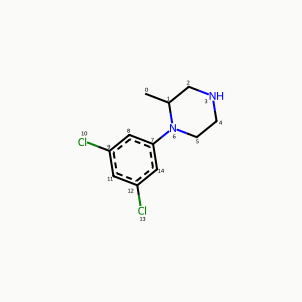 CC1CNCCN1c1cc(Cl)cc(Cl)c1